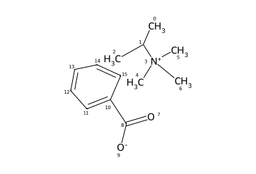 CC(C)[N+](C)(C)C.O=C([O-])c1ccccc1